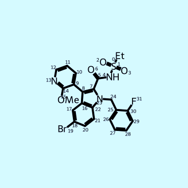 CCS(=O)(=O)NC(=O)c1c(-c2cccnc2OC)c2cc(Br)ccc2n1Cc1ccccc1F